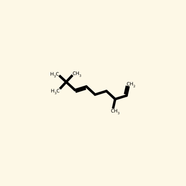 C=CC(C)CCC=CC(C)(C)C